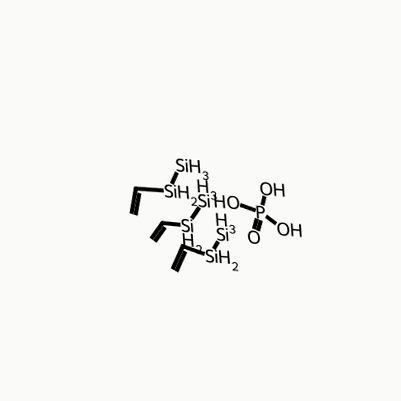 C=C[SiH2][SiH3].C=C[SiH2][SiH3].C=C[SiH2][SiH3].O=P(O)(O)O